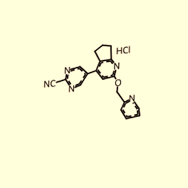 Cl.N#Cc1ncc(-c2cc(OCc3ccccn3)nc3c2CCC3)cn1